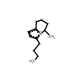 CCCCc1ccc2n1C(C)CCC2